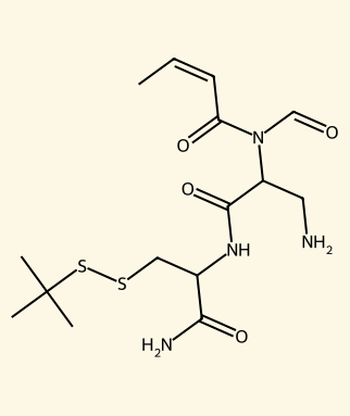 C/C=C\C(=O)N(C=O)C(CN)C(=O)NC(CSSC(C)(C)C)C(N)=O